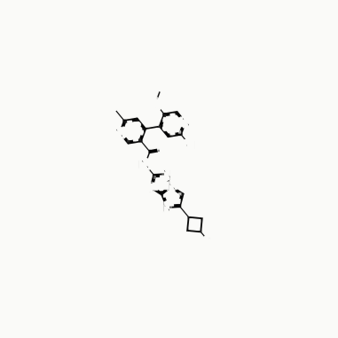 COc1cnc(Cl)cc1-c1cc(C)ncc1C(=O)Nc1nn2cc(C3CC(O)C3)nc2s1